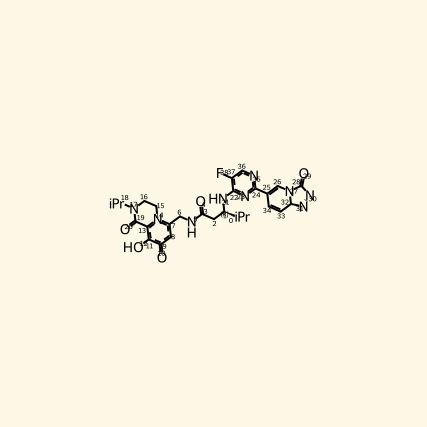 CC(C)[C@@H](CC(=O)NCc1cc(=O)c(O)c2n1CCN(C(C)C)C2=O)Nc1nc(C2=CN3C(=O)N=NC3C=C2)ncc1F